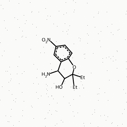 CCC1(CC)Oc2ccc([N+](=O)[O-])cc2C(N)C1O